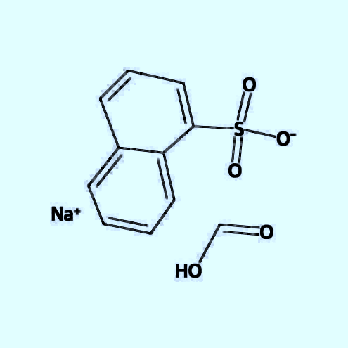 O=CO.O=S(=O)([O-])c1cccc2ccccc12.[Na+]